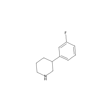 Fc1cccc(C2CCCNC2)c1